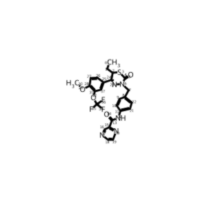 CCC1SC(=O)N(Cc2ccc(NC(=O)c3cnccn3)cc2)N=C1c1ccc(OC)c(OC(F)(F)F)c1